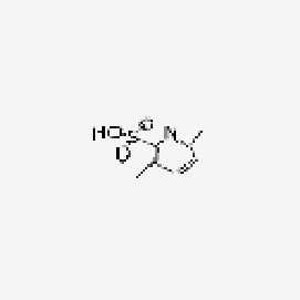 Cc1ccc(C)c(S(=O)(=O)O)n1